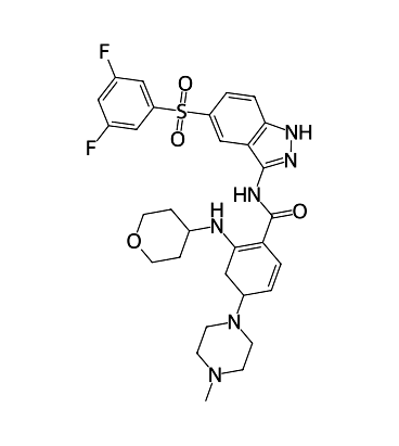 CN1CCN(C2C=CC(C(=O)Nc3n[nH]c4ccc(S(=O)(=O)c5cc(F)cc(F)c5)cc34)=C(NC3CCOCC3)C2)CC1